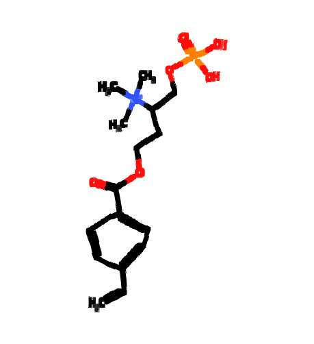 C=Cc1ccc(C(=O)OCCC(COP(=O)(O)O)[N+](C)(C)C)cc1